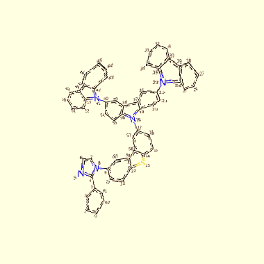 c1ccc(-c2nccn2-c2ccc3sc4ccc(-n5c6ccc(-n7c8ccccc8c8ccccc87)cc6c6cc(-n7c8ccccc8c8ccccc87)ccc65)cc4c3c2)cc1